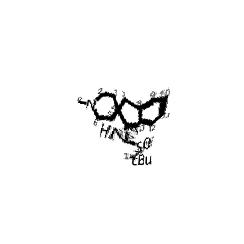 CN1CCC2(CC1)Cc1ccccc1[C@@H]2N[S@+]([O-])C(C)(C)C